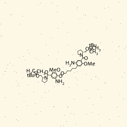 COc1cc(CCCCCOOc2cc(OC)c(C(=O)N3CCC[C@H]3CO[Si](C)(C)C(C)(C)C)cc2N)c(N)cc1C(=O)N1CCC[C@H]1CO[Si](C)(C)C(C)(C)C